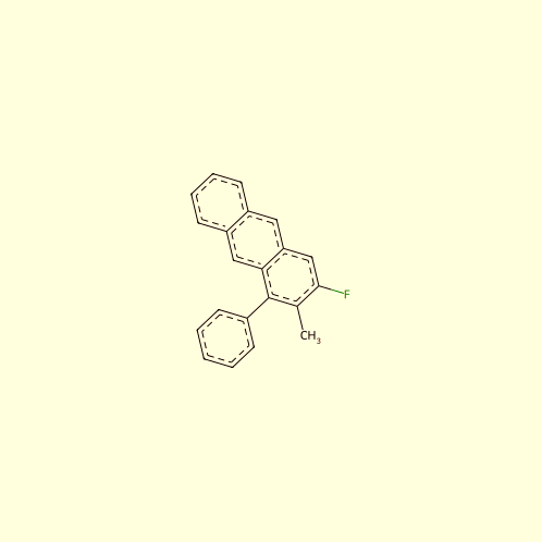 Cc1c(F)cc2cc3ccccc3cc2c1-c1ccccc1